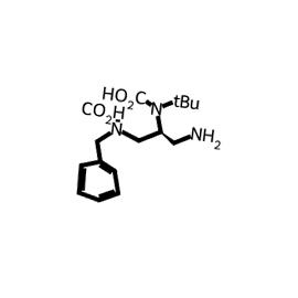 CC(C)(C)N(C(=O)O)[C@@H](CN)CN(Cc1ccccc1)C(=O)O